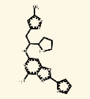 Cc1cc(CC(Nc2cc3nc(-c4ccco4)nn3c(N)n2)C2CCCN2)no1